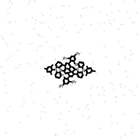 Cc1cc(C)c(N2c3ccccc3B3c4c(cccc42)-c2cc(-c4c(C(C)C)cc(C(C)C)cc4C(C)C)c4cc5c6c(cc(-c7c(C(C)C)cc(C(C)C)cc7C(C)C)c7cc3c2c4c76)-c2cccc3c2B5c2ccccc2N3c2c(C)cc(C)cc2C)c(C)c1